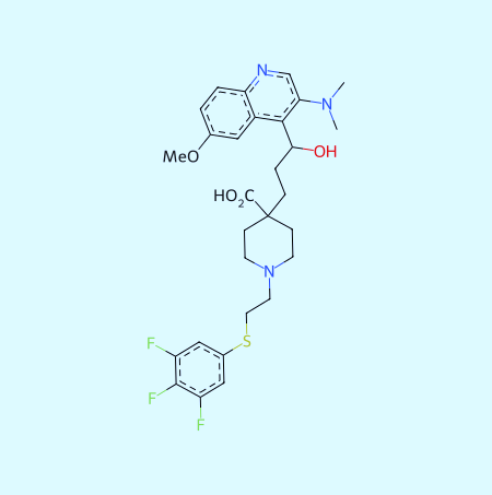 COc1ccc2ncc(N(C)C)c(C(O)CCC3(C(=O)O)CCN(CCSc4cc(F)c(F)c(F)c4)CC3)c2c1